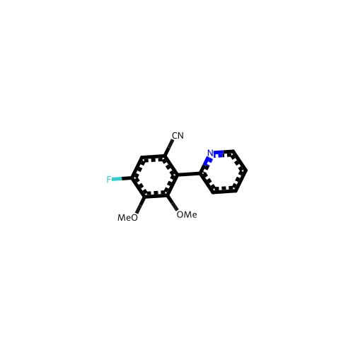 COc1c(F)cc(C#N)c(-c2ccccn2)c1OC